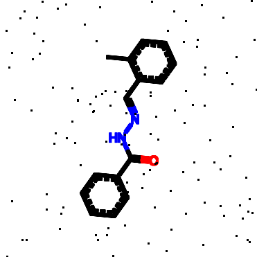 Cc1ccccc1C=NNC(=O)c1ccccc1